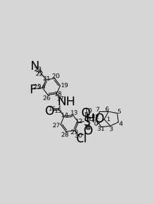 CC1(O)C2CCC1CC(S(=O)(=O)c1cc(C(=O)Nc3ccc(C#N)c(F)c3)ccc1Cl)C2